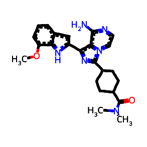 COc1cccc2cc(-c3nc(C4CCC(C(=O)N(C)C)CC4)n4ccnc(N)c34)[nH]c12